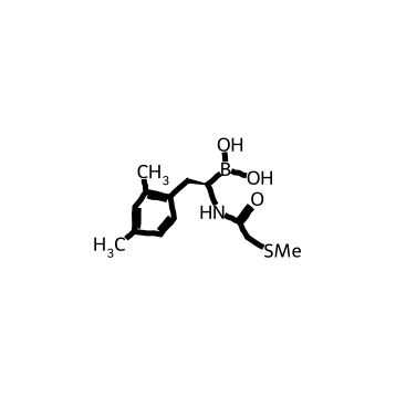 CSCC(=O)N[C@@H](Cc1ccc(C)cc1C)B(O)O